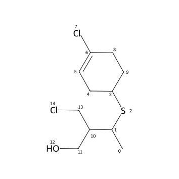 CC(SC1CC=C(Cl)CC1)C(CO)CCl